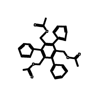 CC(=O)OCc1c(-c2ccccc2)c(COC(C)=O)c(-c2ccccc2)c(COC(C)=O)c1-c1ccccc1